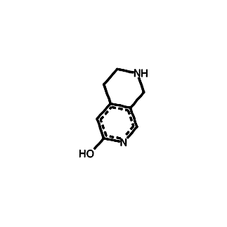 Oc1cc2c(cn1)CNCC2